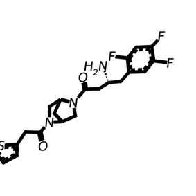 N[C@@H](CC(=O)N1CC2CC1CN2C(=O)Cc1cccs1)Cc1cc(F)c(F)cc1F